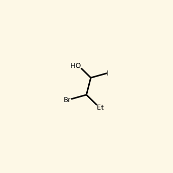 [CH2]CC(Br)C(O)I